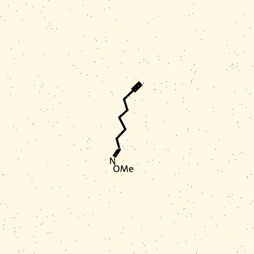 [C]#CCCCCCC=NOC